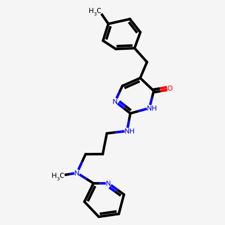 Cc1ccc(Cc2cnc(NCCCN(C)c3ccccn3)[nH]c2=O)cc1